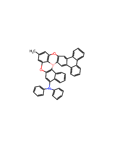 Cc1cc2c3c(c1)Oc1cc(N(c4ccccc4)c4ccccc4)c4ccccc4c1B3c1cc3c4ccccc4c4ccccc4c3cc1O2